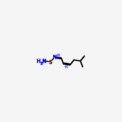 CC(C)C/C=C\C=N/SN